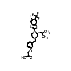 CC(C)C[C@@H]1CN(Cc2cccc(OCC(=O)O)c2)CCN1c1nc2cc(F)c(C(F)(F)F)cc2s1